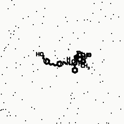 CC(C)C1=CC2CC3(C=O)[C@@H]4CC[C@@H](C)[C@H]4CC2([C@H]2CC(C4CCCCC4)[C@H](CNCCN4CCC(CCCC5CCN(CCO)CC5)CC4)O2)[C@]13C(=O)O